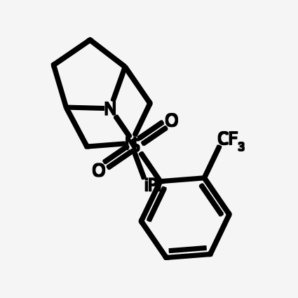 CC(C)N1CC2CCC(C1)N2S(=O)(=O)c1ccccc1C(F)(F)F